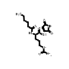 CCCCCC(=O)NC(CCCNC(N)=O)C(=O)O.O=C1C=CC(=O)N1